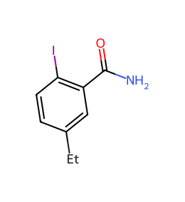 CCc1ccc(I)c(C(N)=O)c1